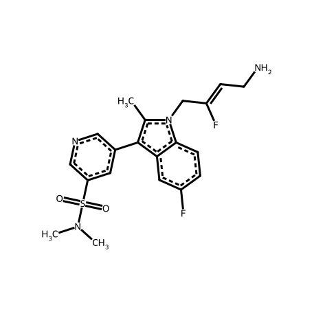 Cc1c(-c2cncc(S(=O)(=O)N(C)C)c2)c2cc(F)ccc2n1CC(F)=CCN